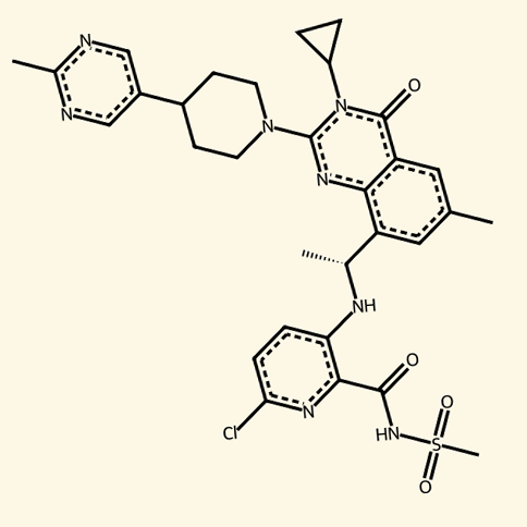 Cc1cc([C@@H](C)Nc2ccc(Cl)nc2C(=O)NS(C)(=O)=O)c2nc(N3CCC(c4cnc(C)nc4)CC3)n(C3CC3)c(=O)c2c1